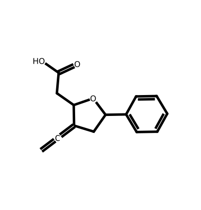 C=C=C1CC(c2ccccc2)OC1CC(=O)O